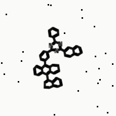 c1ccc(-c2nc(-c3cccc(-c4c5ccccc5c(-c5cccc6ccccc56)c5ccccc45)c3)nc(-c3ccc4ccccc4c3)n2)cc1